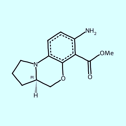 COC(=O)c1c(N)ccc2c1OC[C@H]1CCCN21